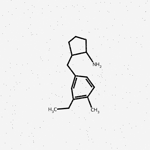 CCc1cc(CC2CCCC2N)ccc1C